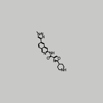 Cn1cc(-c2ccc3cnc(NC(=O)c4coc(C5CCNCC5)n4)cc3c2)nn1